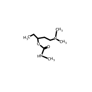 CCC(CCN(C)C)OC(=O)NC